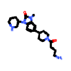 Cn1c(=O)n(C2CCCNC2)c2ccc(C3CCN(C(=O)CCCN)CC3)cc21